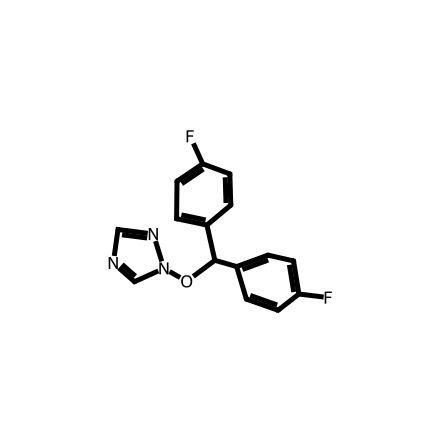 Fc1ccc(C(On2cncn2)c2ccc(F)cc2)cc1